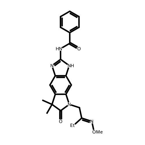 CC/C(CN1C(=O)C(C)(C)c2cc3nc(NC(=O)c4ccccc4)[nH]c3cc21)=N\OC